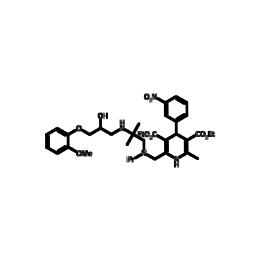 CCOC(=O)C1=C(C)NC(CN(CC(C)(C)NCC(O)COc2ccccc2OC)C(C)C)=C(C(=O)OCC)C1c1cccc([N+](=O)[O-])c1